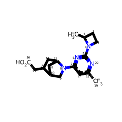 CC1CCN1c1nc(N2CC3CC2CC3CC(=O)O)cc(C(F)(F)F)n1